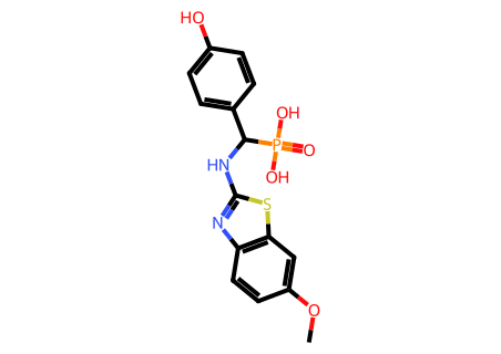 COc1ccc2nc(NC(c3ccc(O)cc3)P(=O)(O)O)sc2c1